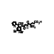 Br.NC(CCC(=O)O)C(=O)NCC(=O)Nc1ccc(Br)cc1C(=O)c1ccccn1